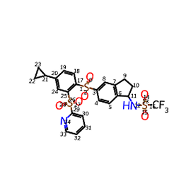 O=S(=O)(c1ccc2c(c1)CCC2NS(=O)(=O)C(F)(F)F)c1ccc(C2CC2)cc1S(=O)(=O)c1ccccn1